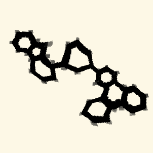 C1=CC(c2cnc3c(n2)c2c(c4ccccc43)CCC=C2)CC(C2=c3sc4ccccc4c3=CCC2)=C1